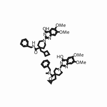 COc1cc2nc(N3CCC(CC4CC4)(C(=O)N(C)Cc4ccccc4)CC3)nc(O)c2cc1OC.COc1cc2nc(N3CCC(CC4CCC4)(C(=O)NCc4ccccc4)CC3)nc(O)c2cc1OC